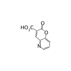 O=C(O)c1cc2ncccc2oc1=O